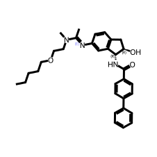 CCCCCOCCN(C)/C(C)=N/c1ccc2c(c1)[C@@H](NC(=O)c1ccc(-c3ccccc3)cc1)[C@H](O)C2